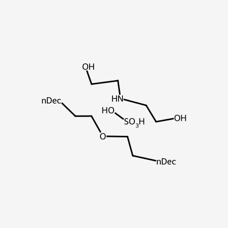 CCCCCCCCCCCCOCCCCCCCCCCCC.O=S(=O)(O)O.OCCNCCO